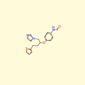 O=CNc1ccc(OC(CCc2cccs2)Cn2ccnc2)cc1